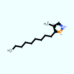 CCCCCCCCCc1p[nH]cc1C